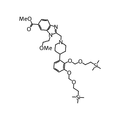 COCCn1c(CN2CCC(c3cccc(OCOCC[Si](C)(C)C)c3OCOCC[Si](C)(C)C)CC2)nc2ccc(C(=O)OC)cc21